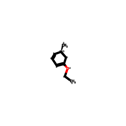 CCOC1=CC=C[C@H](C)C1